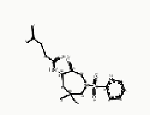 CC(C)C[CH]C(=O)N[C@H]1CC(C)(C)CN(S(=O)(=O)c2ccccn2)CC1=O